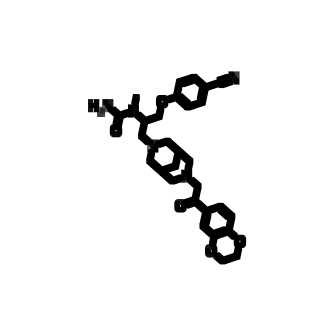 CN(C(N)=O)C(COc1ccc(C#N)cc1)CN1CC2CC(CN(CC(=O)c3ccc4c(c3)OCCO4)C2)C1